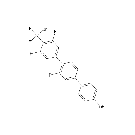 CCCc1ccc(-c2ccc(-c3cc(F)c(C(F)(F)Br)c(F)c3)c(F)c2)cc1